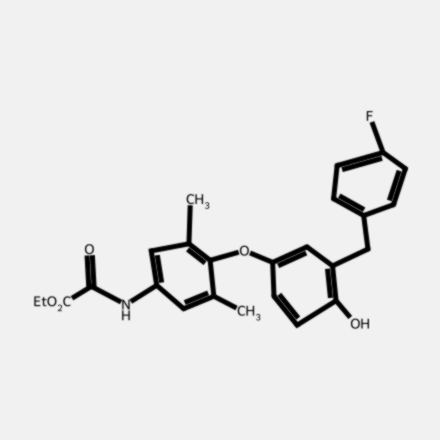 CCOC(=O)C(=O)Nc1cc(C)c(Oc2ccc(O)c(Cc3ccc(F)cc3)c2)c(C)c1